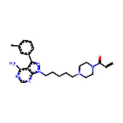 C=CC(=O)N1CCN(CCCCCn2nc(-c3cccc(C)c3)c3c(N)ncnc32)CC1